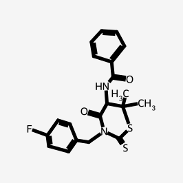 CC1(C)SC(=S)N(Cc2ccc(F)cc2)C(=O)C1NC(=O)c1ccccc1